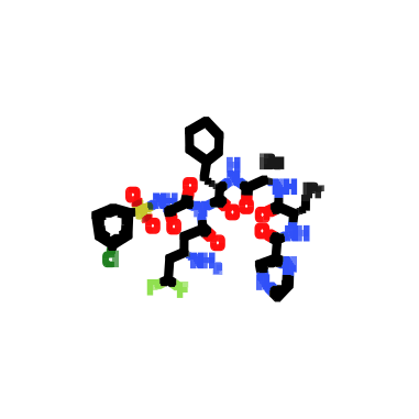 CC[C@H](C)[C@H](NC(=O)[C@H](CC(C)C)NC(=O)c1cnccn1)C(=O)N[C@@H](CC1CCCCC1)C(=O)N(C(=O)C[C@H](N)CC(F)F)C(=O)C(=O)NS(=O)(=O)c1cccc(Cl)c1